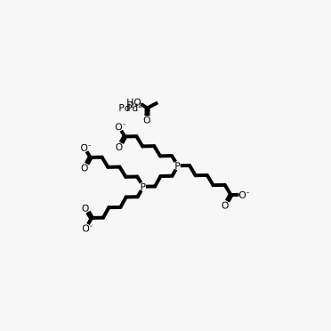 CC(=O)O.O=C([O-])CCCCCP(CCCCCC(=O)[O-])CCCP(CCCCCC(=O)[O-])CCCCCC(=O)[O-].[Pd+2].[Pd+2]